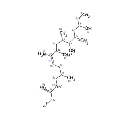 C=CC(O)CC(C)C(O)C(C)CC(O)/C(N)=C\CC(C)CNC(=N)CF